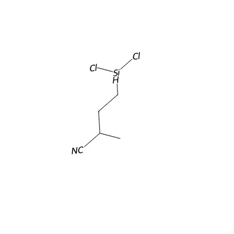 CC(C#N)CC[SiH](Cl)Cl